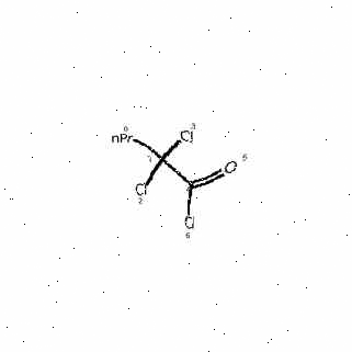 CCCC(Cl)(Cl)C(=O)Cl